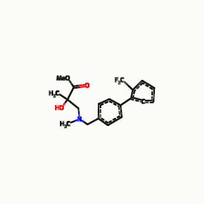 COC(=O)C(C)(O)CN(C)Cc1ccc(-c2ccccc2C(F)(F)F)cc1